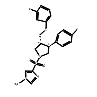 Cn1cnc(S(=O)(=O)N2C[C@H](COc3cccc(F)c3)[C@@H](c3ccc(F)cc3)C2)c1